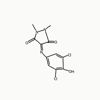 CN1C(=O)C(=Nc2cc(Cl)c(O)c(Cl)c2)C(=O)N1C